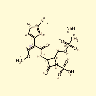 CO/N=C(\C(=O)NC1C(=O)N(S(=O)(=O)O)C1COS(C)(=O)=O)c1csc(N)n1.[NaH]